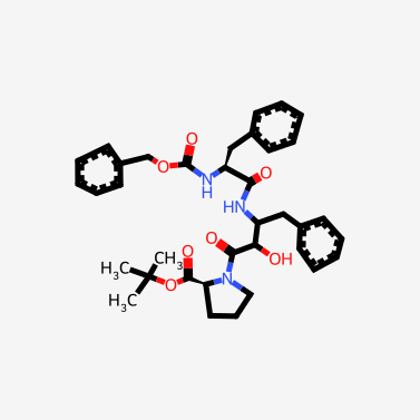 CC(C)(C)OC(=O)[C@@H]1CCCN1C(=O)C(O)C(Cc1ccccc1)NC(=O)[C@H](Cc1ccccc1)NC(=O)OCc1ccccc1